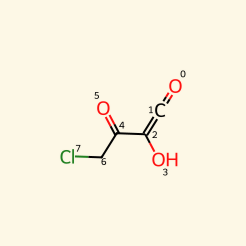 O=C=C(O)C(=O)CCl